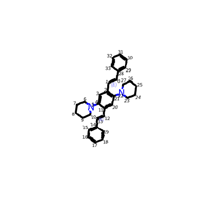 C(=C\c1cc(N2CCCCC2)c(/C=C/c2ccccc2)cc1N1CCCCC1)/c1ccccc1